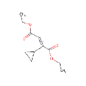 CCOC(=O)/C=C(/C(=O)OCC)C1CC1